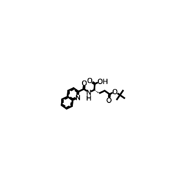 CC(C)(C)OC(=O)CC[C@H](NC(=O)c1ccc2ccccc2n1)C(=O)O